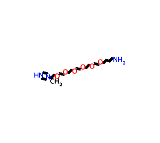 C=C(COCCOCCOCCOCCOCCOCCCCN)N1CCNCC1